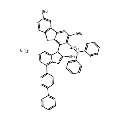 CCCC1=Cc2c(-c3ccc(-c4ccccc4)cc3)cccc2C1c1c2c(cc(C(C)(C)C)[c]1[Zr+2][SiH](c1ccccc1)c1ccccc1)-c1cc(C(C)(C)C)ccc1C2.[Cl-].[Cl-]